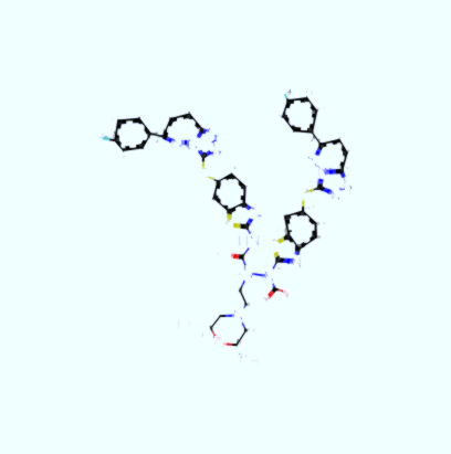 C[C@@H]1CN(CCN(C(=O)Nc2nc3ccc(Sc4nnc5ccc(-c6ccc(F)cc6)nn45)cc3s2)N(C(=O)O)c2nc3ccc(Sc4nnc5ccc(-c6ccc(F)cc6)nn45)cc3s2)C[C@H](C)O1